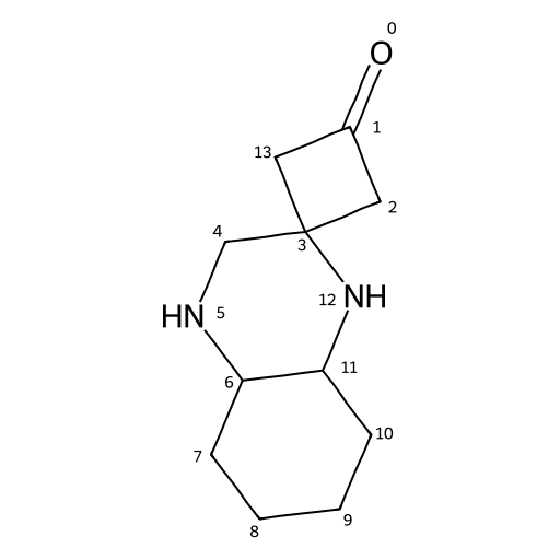 O=C1CC2(CNC3CCCCC3N2)C1